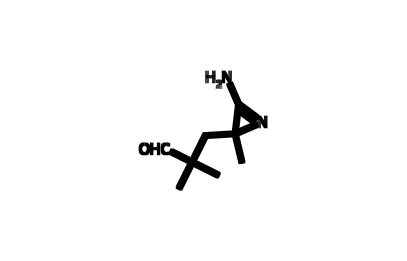 CC(C)(C=O)CC1(C)N=C1N